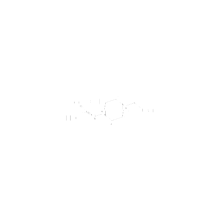 CC(C)(C)CN1CCN(N=S(C)(C)=O)CC1